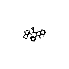 O=c1c2c(Cl)cccc2nc(C(Nc2ncnc3nc[nH]c23)C2CC2)n1-c1ccccc1